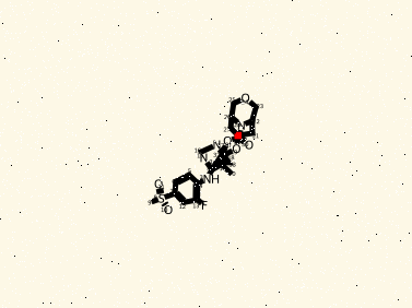 Cc1c(Nc2ccc(S(C)(=O)=O)cc2F)ncnc1OC1CC2COCC(C1)N2C(=O)OC1CC1